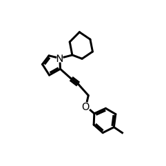 Cc1ccc(OCC#Cc2cccn2C2CCCCC2)cc1